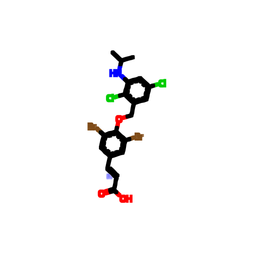 CC(C)Nc1cc(Cl)cc(COc2c(Br)cc(/C=C/C(=O)O)cc2Br)c1Cl